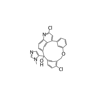 Cn1cncc1C1(O)c2ccc(Cl)c(c2)COc2cccc(c2)-c2cc(Cl)nc3ccc1cc23